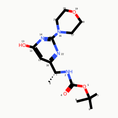 C[C@@H](NC(=O)OC(C)(C)C)c1cc(O)nc(N2CCOCC2)n1